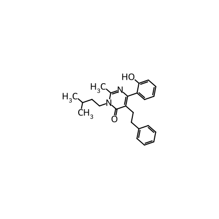 Cc1nc(-c2ccccc2O)c(CCc2ccccc2)c(=O)n1CCC(C)C